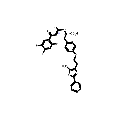 C/C(=C\C(=O)c1cc(F)c(F)cc1F)N[C@@H](Cc1ccc(OCCc2nc(-c3ccccc3)oc2C)cc1)C(=O)O